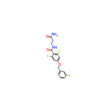 NC(=O)CCNC(=O)c1c(F)cc(OCc2cccc(F)c2)cc1F